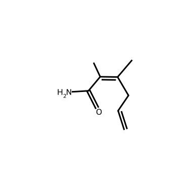 C=CCC(C)=C(C)C(N)=O